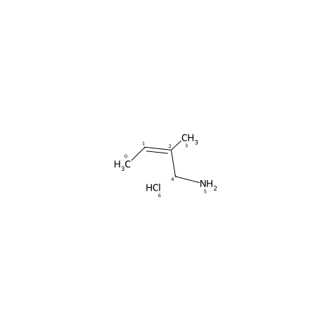 CC=C(C)CN.Cl